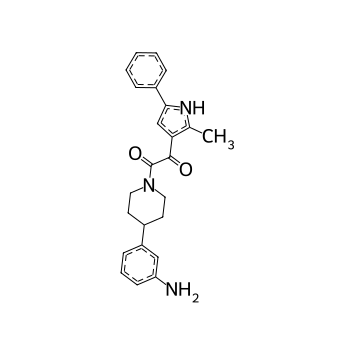 Cc1[nH]c(-c2ccccc2)cc1C(=O)C(=O)N1CCC(c2cccc(N)c2)CC1